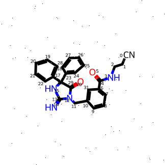 N#CCCNC(=O)c1cccc(CN2C(=N)NC(c3ccccc3)(c3ccccc3)C2=O)c1